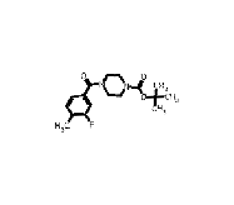 Cc1ccc(C(=O)N2CCN(C(=O)OC(C)(C)C)CC2)cc1F